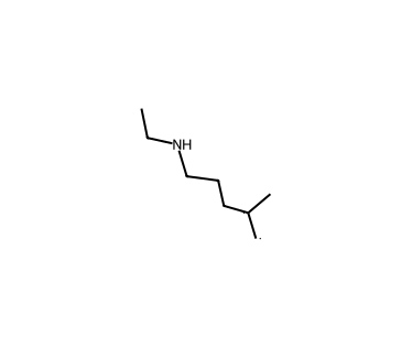 [CH2][C](C)CCCNCC